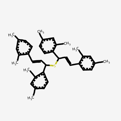 Cc1ccc(C=CC(SC(C=Cc2ccc(C)cc2C)c2ccc(C)cc2C)c2ccc(C)cc2C)c(C)c1